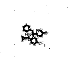 O=C(NC(Cc1ccccc1)(c1cccc(C(F)(F)F)c1)c1ccc(Br)cn1)C1CC1